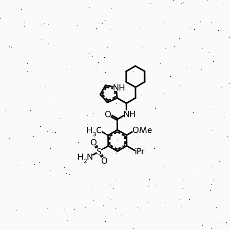 COc1c(C(C)C)cc(S(N)(=O)=O)c(C)c1C(=O)NC(CC1CCCCC1)c1ccc[nH]1